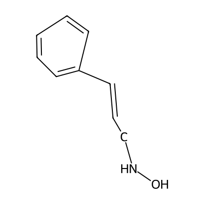 ONCC=Cc1ccccc1